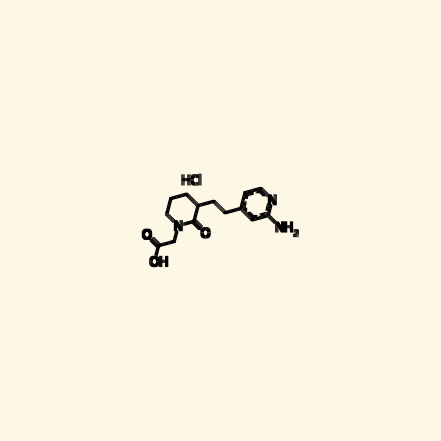 Cl.Nc1cc(CCC2CCCN(CC(=O)O)C2=O)ccn1